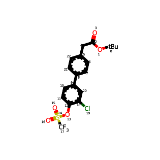 CC(C)(C)OC(=O)Cc1ccc(-c2ccc(OS(=O)(=O)C(F)(F)F)c(Cl)c2)cc1